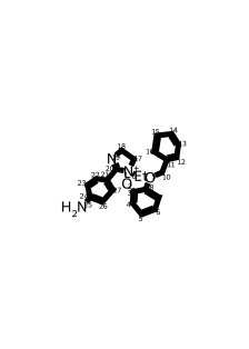 CC[N+]1(Oc2ccccc2OCc2ccccc2)CCN=C1c1ccc(N)cc1